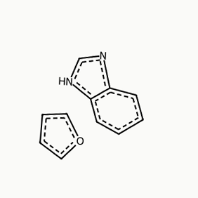 c1ccc2[nH]cnc2c1.c1ccoc1